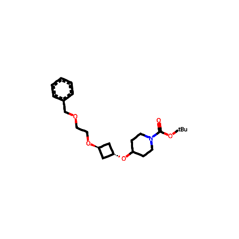 CC(C)(C)OC(=O)N1CCC(O[C@H]2C[C@H](OCCOCc3ccccc3)C2)CC1